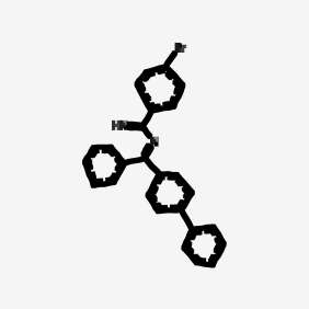 N=C(/N=C(\c1ccccc1)c1ccc(-c2ccccc2)cc1)c1ccc(Br)cc1